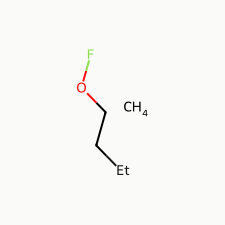 C.CCCCOF